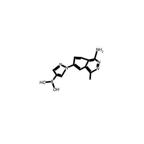 Cc1nnc(N)c2ccc(-n3cc(B(O)O)cn3)cc12